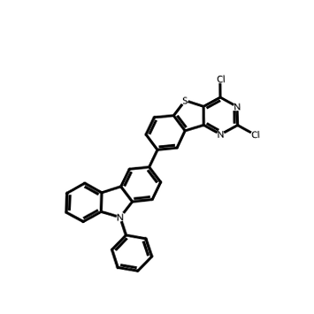 Clc1nc(Cl)c2sc3ccc(-c4ccc5c(c4)c4ccccc4n5-c4ccccc4)cc3c2n1